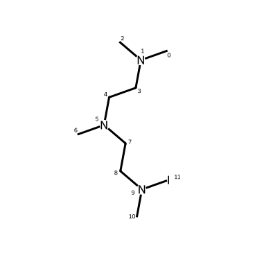 CN(C)CCN(C)CCN(C)I